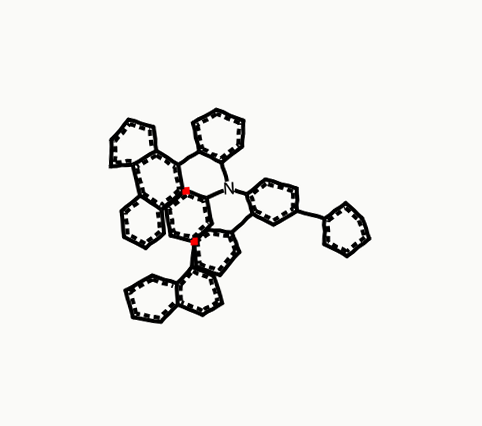 c1ccc(-c2ccc(N(c3cccc(-c4cccc5ccccc45)c3)c3ccccc3-c3cc4ccccc4c4ccccc34)c(-c3ccccc3)c2)cc1